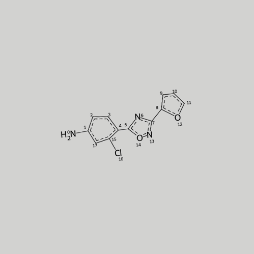 Nc1ccc(-c2nc(-c3ccco3)no2)c(Cl)c1